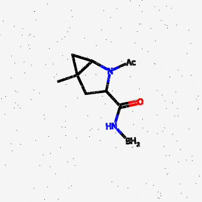 BNC(=O)C1CC2(C)CC2N1C(C)=O